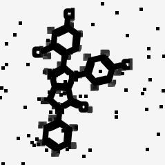 O=C1c2c(nc(-c3ccc(Cl)cc3Cl)n2-c2ccc(Cl)cc2)CN1c1ccccc1